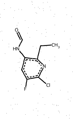 CCc1nc(Cl)c(F)cc1NC=O